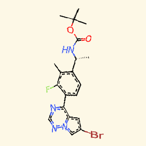 Cc1c([C@@H](C)NC(=O)OC(C)(C)C)ccc(-c2ncnn3cc(Br)cc23)c1F